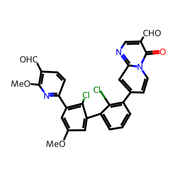 COc1cc(-c2ccc(C=O)c(OC)n2)c(Cl)c(-c2cccc(-c3ccn4c(=O)c(C=O)cnc4c3)c2Cl)c1